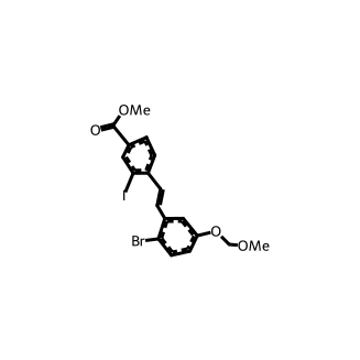 COCOc1ccc(Br)c(C=Cc2ccc(C(=O)OC)cc2I)c1